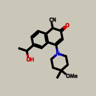 COC1(C)CCN(C2=CC(=O)C(C#N)c3ccc(C(C)O)cc32)CC1